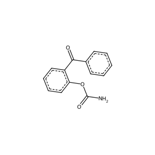 NC(=O)Oc1ccccc1C(=O)c1ccccc1